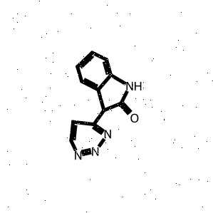 O=C1Nc2ccccc2C1c1ccnnn1